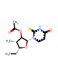 CC[C@H]1O[C@@H](n2ccc(=O)[nH]c2=S)C(OC(C)=O)[C@H]1C